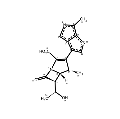 Cc1ncn2c(C3=C(C(=O)O)N4C(=O)[C@H]([C@@H](C)O)[C@H]4[C@H]3C)csc12